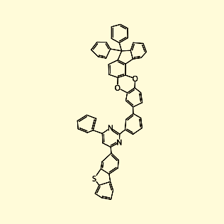 c1ccc(-c2cc(-c3ccc4c(c3)sc3ccccc34)nc(-c3cccc(-c4ccc5c(c4)Oc4ccc6c(c4O5)-c4ccccc4C6(c4ccccc4)c4ccccc4)c3)n2)cc1